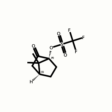 CC1(C)[C@H]2CC[C@]1(OS(=O)(=O)C(F)(F)F)C(=O)C2